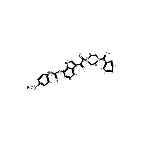 CCOC(=O)c1ccc(NC(=O)Nc2cccc3c(C(=O)C(=O)N4CCN(C(=O)c5ccccc5)CC4)c[nH]c23)cc1